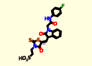 O=C(CN1C(=O)C(/C=C2\SC(=S)N(CCS(=O)(=O)O)C2=O)c2ccccc21)Nc1ccc(F)cc1